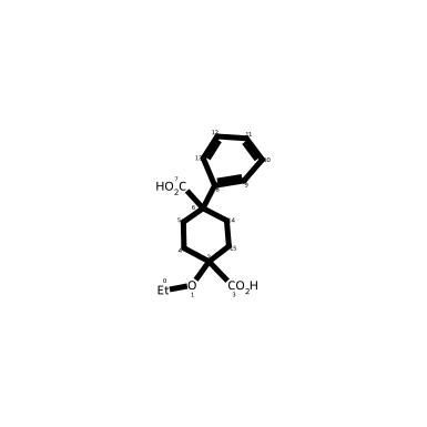 CCOC1(C(=O)O)CCC(C(=O)O)(c2ccccc2)CC1